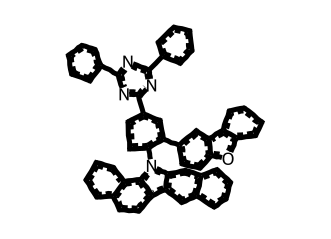 c1ccc(-c2nc(-c3ccccc3)nc(-c3ccc(-n4c5cc6ccccc6cc5c5ccc6ccccc6c54)c(-c4ccc5oc6ccccc6c5c4)c3)n2)cc1